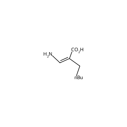 CCCCC/C(=C/N)C(=O)O